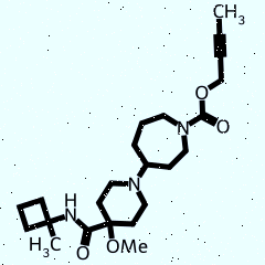 CC#CCOC(=O)N1CCCC(N2CCC(OC)(C(=O)NC3(C)CCC3)CC2)CC1